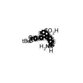 CC1(C)CCC2(C(=O)O)CCC3(C)C(=C(c4ccc(N5CCN(C(=O)OC(C)(C)C)CC5)cc4)CC4C5(C)Cc6c(n[nH]c6N)C(C)(C)C5CCC43C)C2C1